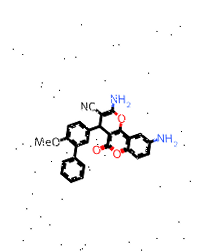 COc1ccc(C2C(C#N)=C(N)Oc3c2c(=O)oc2ccc(N)cc32)cc1-c1ccccc1